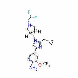 Nc1ncc(-c2cn(C3[C@H]4CN(CC(F)F)C[C@@H]34)c(CC3CC3)n2)cc1OC(F)(F)F